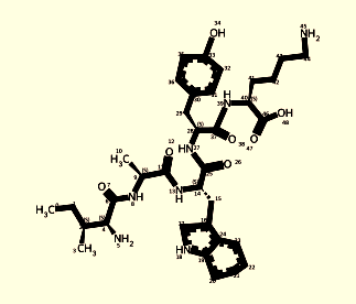 CC[C@H](C)[C@H](N)C(=O)N[C@@H](C)C(=O)N[C@@H](Cc1c[nH]c2ccccc12)C(=O)N[C@@H](Cc1ccc(O)cc1)C(=O)N[C@@H](CCCCN)C(=O)O